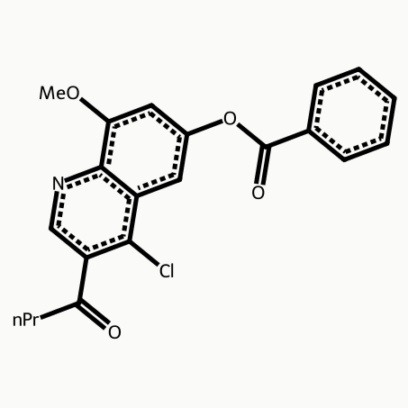 CCCC(=O)c1cnc2c(OC)cc(OC(=O)c3ccccc3)cc2c1Cl